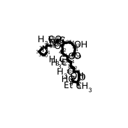 CCC(O)C(C)C1OC1CC(C)(O)/C=C/C=C(\C)C1OC(=O)CC(O)CCC(C)C(OC(=O)N(C)CCN2CCCCC2)/C=C/C1C